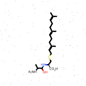 CC(=O)NC(C)C(O)N[C@@H](CSC/C=C(\C)CC/C=C(\C)CCC=C(C)C)C(=O)O